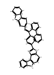 C(=C(\c1ccc(-c2nc3c(ccc4oc5ccccc5c43)o2)cc1)c1ccccc1-c1ccccc1)/c1ccc2c(c1)sc1ccccc12